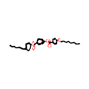 C=CCCCCC1CCC(OC(=O)c2ccc(OC(=O)c3ccc(OCCCCCCCC)cc3)cc2)CC1